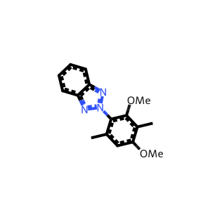 COc1cc(C)c(-n2nc3ccccc3n2)c(OC)c1C